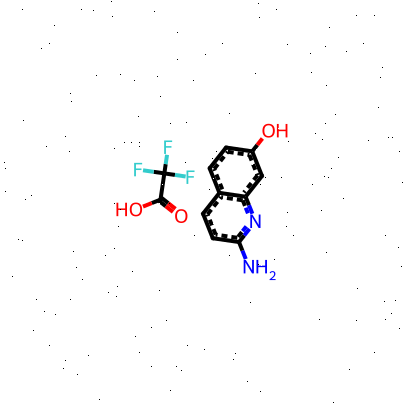 Nc1ccc2ccc(O)cc2n1.O=C(O)C(F)(F)F